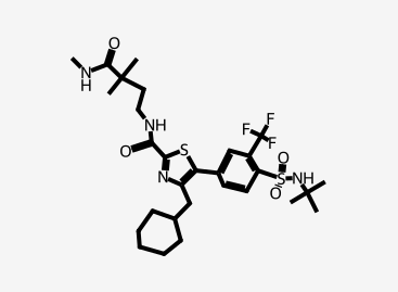 CNC(=O)C(C)(C)CCNC(=O)c1nc(CC2CCCCC2)c(-c2ccc(S(=O)(=O)NC(C)(C)C)c(C(F)(F)F)c2)s1